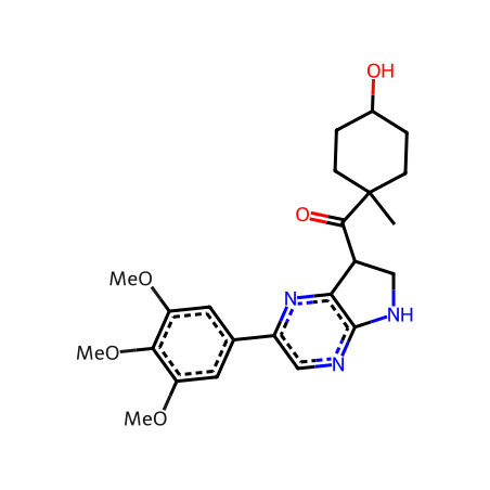 COc1cc(-c2cnc3c(n2)C(C(=O)C2(C)CCC(O)CC2)CN3)cc(OC)c1OC